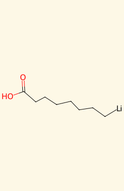 [Li][CH2]CCCCCCC(=O)O